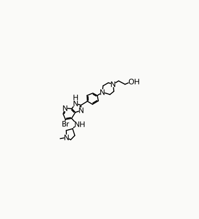 CN1CC[C@H](Nc2c(Br)cnc3[nH]c(-c4ccc(N5CCN(CCO)CC5)cc4)nc23)C1